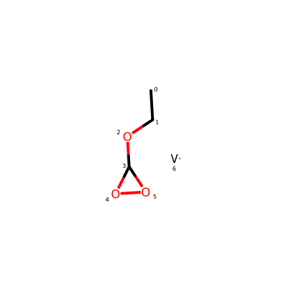 CCOC1OO1.[V]